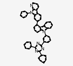 c1ccc(-c2nc(-c3ccccc3)nc(-c3cccc(-n4c5ccccc5c5c(-c6ccc7c8cccnc8n(-c8ccccc8)c7c6)cccc54)c3)n2)cc1